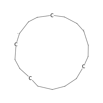 [CH]1CCCCC[CH]CCCCCCCCCCC1